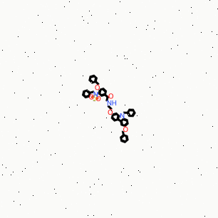 CS(=O)(=O)N(Cc1ccccc1)c1cc(C(=O)CNCCOc2ccc3c4cc(OCc5ccccc5)ccc4n(Cc4ccccc4)c3c2)ccc1OCc1ccccc1